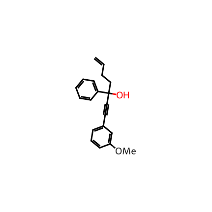 C=CCCC(O)(C#Cc1cccc(OC)c1)c1ccccc1